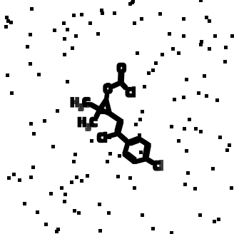 CC1(C)C(C=C(Cl)c2ccc(Cl)cc2)C1OC(=O)Cl